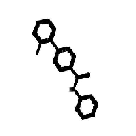 Cc1ccccc1-c1ccc(C(=O)Nc2ccccc2)cc1